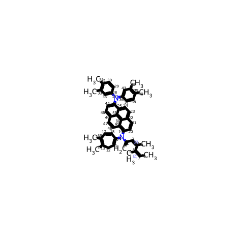 C=C(/C=C(C)\C(C)=C/C)N(C1=CCC(C)=C(C)C=C1)c1ccc2ccc3c(N(c4ccc(C)c(C)c4)c4ccc(C)c(C)c4)ccc4ccc1c2c43